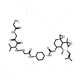 COC1C(OC(=O)N[C@H]2CC[C@H](NC(=O)CNN[C@H](C(=O)C(=O)CNC(=O)CN)C(C)C)CC2)CC[C@]2(CO2)C1C1(C)O[C@@H]1CC=C(C)C